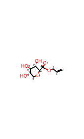 C=CCOC(=O)[C@H]1OC[C@H](O)[C@@H](O)[C@@H]1O